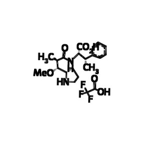 CO[C@@H]([C@@H]1CCCN1)[C@@H](C)C(=O)N[C@H](C(=O)O)[C@@H](C)c1ccccc1.O=C(O)C(F)(F)F